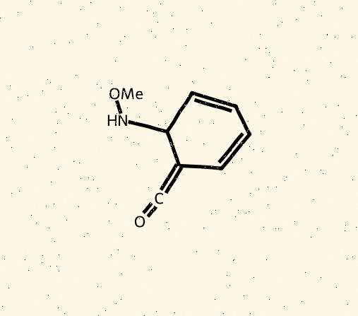 CONC1C=CC=CC1=C=O